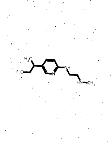 CCC(C)c1ccc(NCCNC)nc1